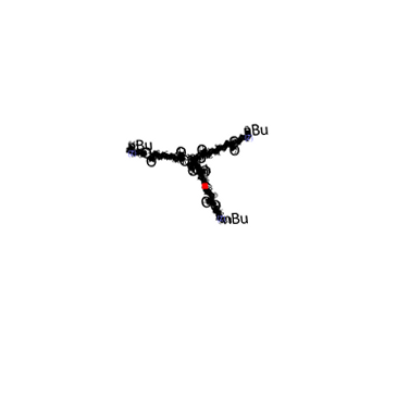 CCCC/C=C\CCOC(=O)CCCCCCC(=O)OCC(CO)(COC(=O)CCCCCCC(=O)OCC/C=C\CCCC)COC(=O)CCCCCCC(=O)OCC/C=C\CCCC